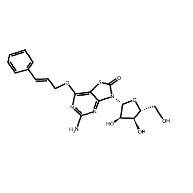 Nc1nc(OCC=Cc2ccccc2)c2sc(=O)n([C@@H]3O[C@H](CO)[C@@H](O)[C@H]3O)c2n1